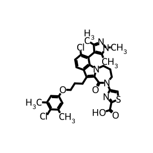 Cc1cc(OCCCc2c3n(c4c(-c5c(C)nn(C)c5C)c(Cl)ccc24)CCCN(c2csc(C(=O)O)n2)C3=O)cc(C)c1Cl